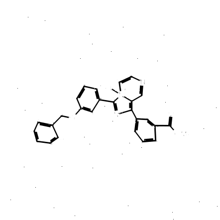 COC(=O)c1cccc(C2=C3C=NC=C[N+]3(Cl)C(c3cccc(OCc4ccccc4)c3)=N2)c1